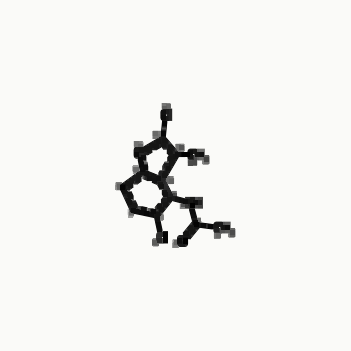 CC(=O)Nc1c(Cl)ccc2oc(Cl)c(C)c12